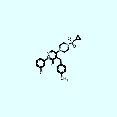 Cc1ccc(Cc2c(N3CCN(S(=O)(=O)C4CC4)CC3)cnn(-c3cccc(Cl)c3)c2=O)cc1